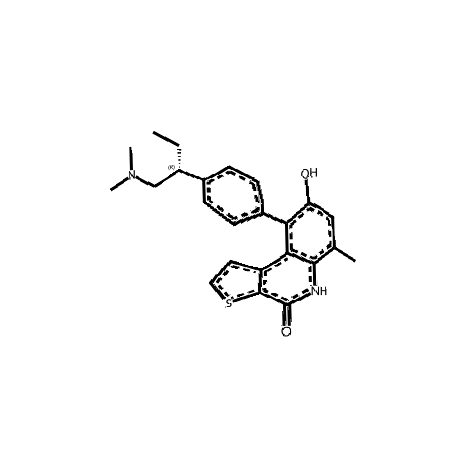 CC[C@@H](CN(C)C)c1ccc(-c2c(O)cc(C)c3[nH]c(=O)c4sccc4c23)cc1